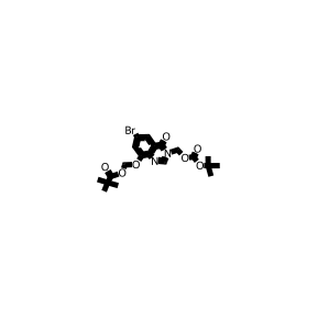 CC(C)(C)OC(=O)OCn1cnc2c(OCOC(=O)C(C)(C)C)cc(Br)cc2c1=O